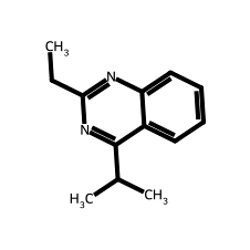 CCc1nc(C(C)C)c2ccccc2n1